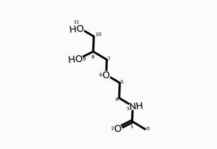 CC(=O)NCCOCC(O)CO